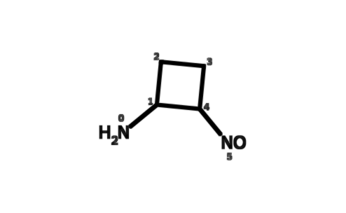 NC1CCC1N=O